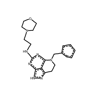 c1ccc(CN2CCc3n[nH]c4nc(NCCN5CCOCC5)nc2c34)cc1